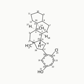 C[C@]12CC[C@@H]3[C@@H](CCC4CCCC[C@@]43C)[C@@H]1CC(c1cc(O)ccc1Cl)C2